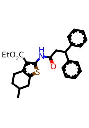 CCOC(=O)c1c(NC(=O)CC(c2ccccc2)c2ccccc2)sc2c1CCC(C)C2